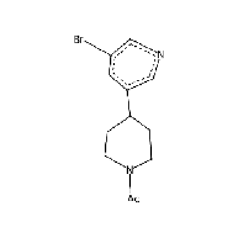 CC(=O)N1CCC(c2cncc(Br)c2)CC1